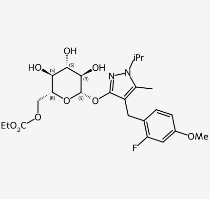 CCOC(=O)OC[C@H]1O[C@@H](Oc2nn(C(C)C)c(C)c2Cc2ccc(OC)cc2F)[C@H](O)[C@@H](O)[C@@H]1O